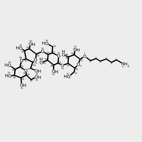 NCCCCCCOC1OC(CO)C(OC2OC(CO)C(OC3OC(CO)C(OC4OC(CO)C(O)C(O)C4O)C(O)C3O)C(O)C2O)C(O)C1O